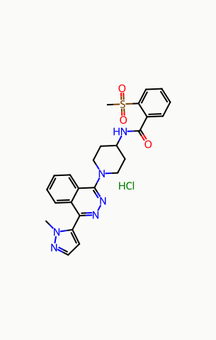 Cl.Cn1nccc1-c1nnc(N2CCC(NC(=O)c3ccccc3S(C)(=O)=O)CC2)c2ccccc12